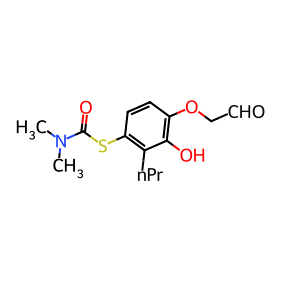 CCCc1c(SC(=O)N(C)C)ccc(OCC=O)c1O